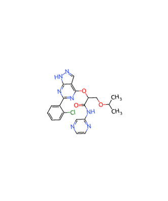 CC(C)OCC(Oc1nc(-c2ccccc2Cl)nc2[nH]ncc12)C(=O)Nc1cnccn1